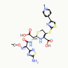 CCO/N=C(\C(=O)N[C@H](C(=O)O)[C@@H]1NC(C(=O)O)=C(Sc2nc(-c3cc[n+](C)cc3)cs2)CS1)c1nsc(N)n1